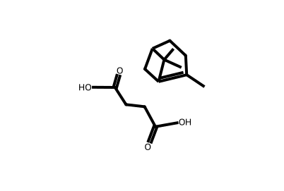 CC1=C2CC(CC1)C2(C)C.O=C(O)CCC(=O)O